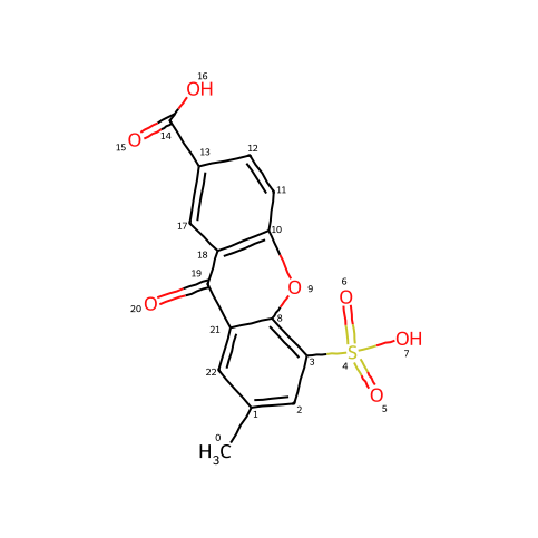 Cc1cc(S(=O)(=O)O)c2oc3ccc(C(=O)O)cc3c(=O)c2c1